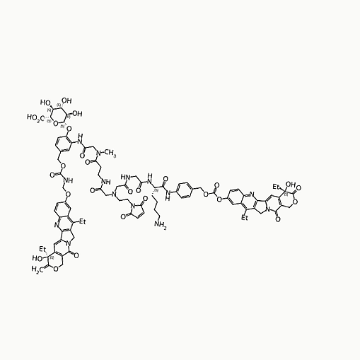 C=C1OCc2c(cc3n(c2=O)Cc2c-3nc3ccc(OCNC(=O)OCc4ccc(O[C@@H]5O[C@H](C(=O)O)[C@@H](O)[C@H](O)[C@H]5O)c(NC(=O)CN(C)C(=O)CCNC(=O)CN(CCN5C(=O)C=CC5=O)CC(=O)NCC(=O)N[C@@H](CCCCN)C(=O)Nc5ccc(COC(=O)Oc6ccc7nc8c(c(CC)c7c6)Cn6c-8cc7c(c6=O)COC(=O)[C@]7(O)CC)cc5)c4)cc3c2CC)[C@@]1(O)CC